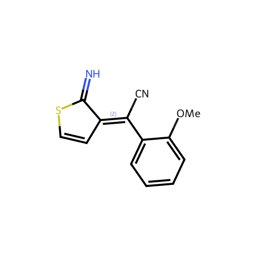 COc1ccccc1/C(C#N)=C1\C=CSC1=N